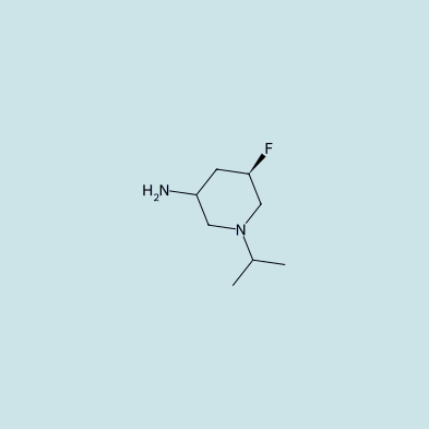 CC(C)N1CC(N)C[C@@H](F)C1